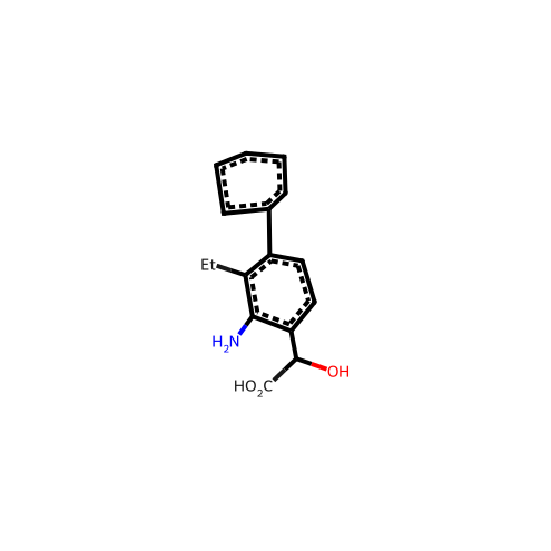 CCc1c(-c2ccccc2)ccc(C(O)C(=O)O)c1N